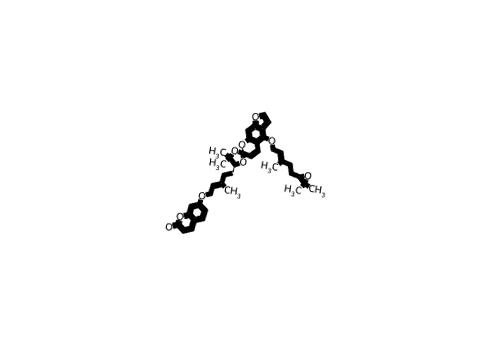 C/C(=C\COc1c2c(cc3occc13)O[C@]1(C=C2)O[C@H](CC/C(C)=C/COc2ccc3ccc(=O)oc3c2)C(C)(C)O1)CCC1OC1(C)C